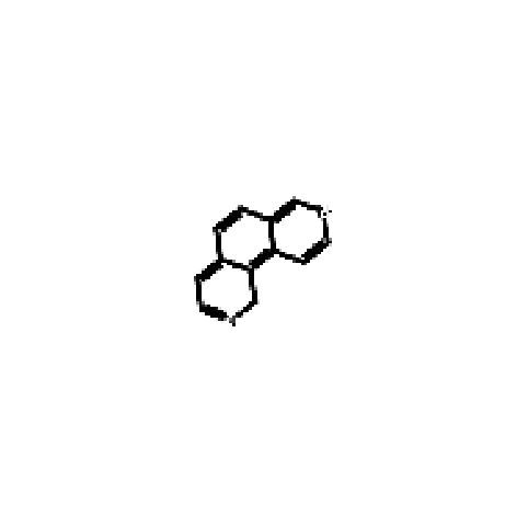 C1=Cc2c3c(ccc2=C[N]1)=CC=NC3